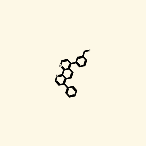 FCc1cccc(-c2ccnc3c2ccc2c(-c4ccccc4)ccnc23)c1